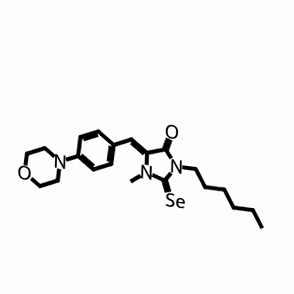 CCCCCCN1C(=O)C(=Cc2ccc(N3CCOCC3)cc2)N(C)C1=[Se]